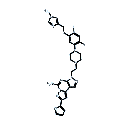 Cn1cnc(COc2cc(N3CCN(CCn4ncc5c4nc(N)n4nc(-c6ccco6)cc54)CC3)c(F)cc2F)n1